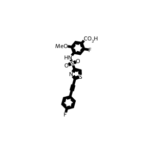 COc1cc(C(=O)O)c(F)cc1NS(=O)(=O)c1csc(C#Cc2ccc(F)cc2)n1